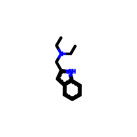 CCN(CC)Cc1cc2ccccc2[nH]1